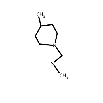 CSCN1CCC(C)CC1